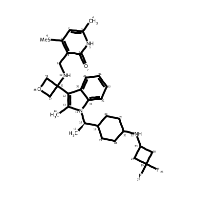 CSc1cc(C)[nH]c(=O)c1CNC1(c2c(C)n([C@H](C)C3CCC(NC4CC(F)(F)C4)CC3)c3ccccc23)COC1